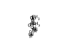 CN1CCN(S(C)(=O)=O)CCC1CNC(=O)c1ccc2c(c1)nc(C(F)(F)F)n2Cc1cccc2c1OC(F)(F)O2